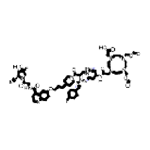 CC1(F)C[C@H](C#N)N(C(=O)CNC(=O)c2ccnc3ccc(OCCCC4CCN(C(=O)CCN/N=C\C(C/C=N/N/N=C/c5ccc(I)cc5)NC(=O)CN5CCN(COC=O)CCN(COC=O)CCN(CC(=O)O)CC5)CC4)cc23)C1